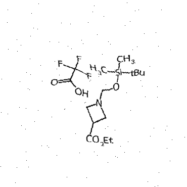 CCOC(=O)C1CN(CO[Si](C)(C)C(C)(C)C)C1.O=C(O)C(F)(F)F